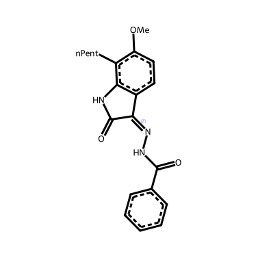 CCCCCc1c(OC)ccc2c1NC(=O)/C2=N\NC(=O)c1ccccc1